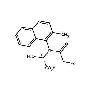 Cc1ccc2ccccc2c1N(C(=O)CBr)[C@@H](C)C(=O)O